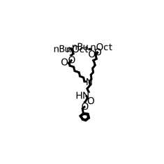 CCCCCCCCC(CCCCCCCC)OC(=O)CCCCCCCN(CCCCCCCC(=O)OCCC(CCCC)CCCC)CCCNC(=O)COCc1ccccc1